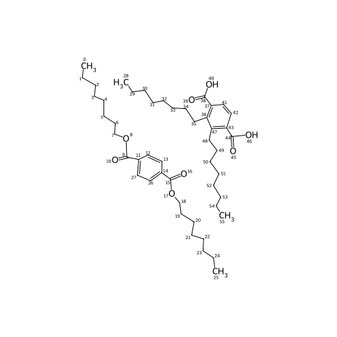 CCCCCCCCOC(=O)c1ccc(C(=O)OCCCCCCCC)cc1.CCCCCCCCc1c(C(=O)O)ccc(C(=O)O)c1CCCCCCCC